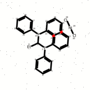 CCC(P(c1ccccc1)c1ccccc1)P(c1ccccc1)c1ccccc1.[Cl][Ni][Cl]